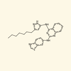 CCCCCCCc1cc(Nc2nc(Nc3ccc4ncsc4c3)nc3ccccc23)[nH]n1